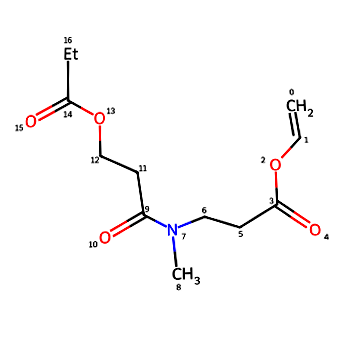 C=COC(=O)CCN(C)C(=O)CCOC(=O)CC